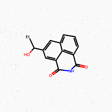 CCC(O)c1cc2c3c(cccc3c1)C(=O)NC2=O